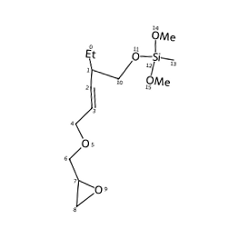 CCC(C=CCOCC1CO1)CO[Si](C)(OC)OC